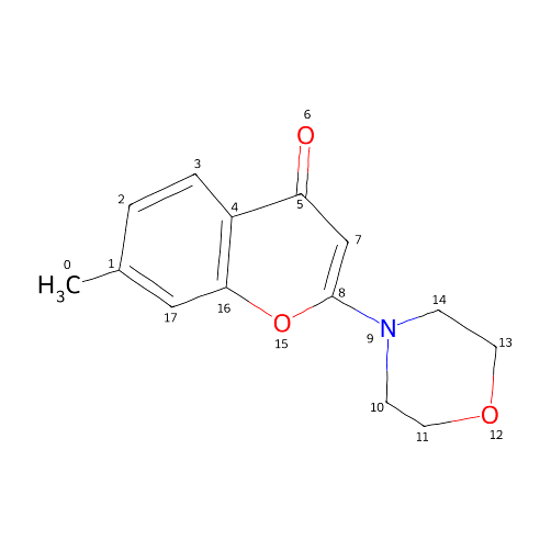 Cc1ccc2c(=O)cc(N3CCOCC3)oc2c1